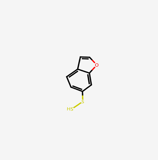 SSc1ccc2ccoc2c1